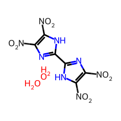 O.O.O=[N+]([O-])c1nc(-c2nc([N+](=O)[O-])c([N+](=O)[O-])[nH]2)[nH]c1[N+](=O)[O-]